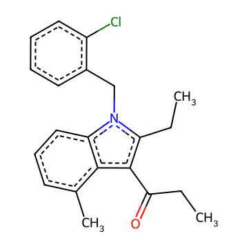 CCC(=O)c1c(CC)n(Cc2ccccc2Cl)c2cccc(C)c12